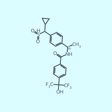 C[C@@H](NC(=O)c1ccc(C(O)(C(F)(F)F)C(F)(F)F)cc1)c1ccc(C(C2CC2)[SH](=O)=O)cc1